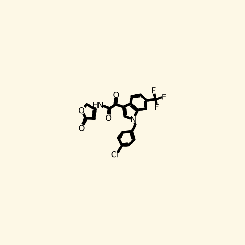 O=C1C=C(NC(=O)C(=O)c2cn(Cc3ccc(Cl)cc3)c3cc(C(F)(F)F)ccc23)CO1